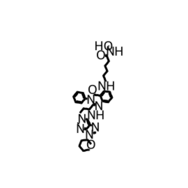 CCC(Nc1ncnc2c1ncn2C1CCCCO1)c1nc2cccc(NCCCCCC(=O)NO)c2c(=O)n1-c1ccccc1